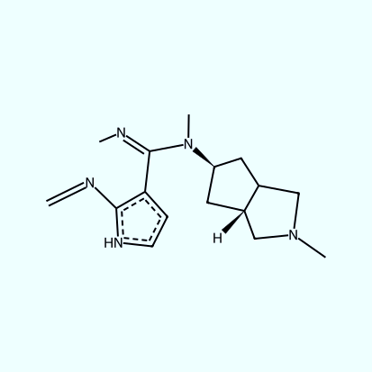 C=Nc1[nH]ccc1/C(=N\C)N(C)[C@H]1CC2CN(C)C[C@@H]2C1